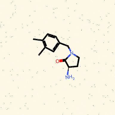 Cc1ccc(CN2CC[C@@H](N)C2=O)cc1C